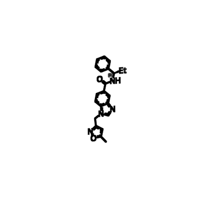 CC[C@@H](NC(=O)c1ccc2c(c1)ncn2Cc1cc(C)on1)c1ccccc1